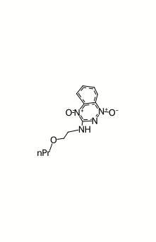 CCCOCCNc1n[n+]([O-])c2ccccc2[n+]1[O-]